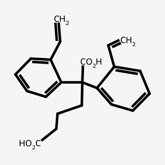 C=Cc1ccccc1C(CCCC(=O)O)(C(=O)O)c1ccccc1C=C